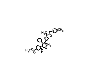 COC(=O)c1ccc2c(c1)NC(=O)/C2=C(/c1ccccc1)N(C)c1ccc(N(C)C(=O)CN2CCN(C)CC2)cc1